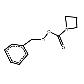 O=C(OOCc1ccccc1)N1CCC1